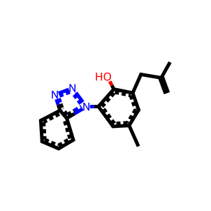 C=C(C)Cc1cc(C)cc(-n2nnc3ccccc32)c1O